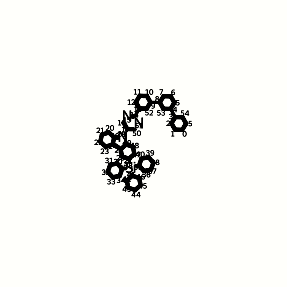 c1ccc(-c2cccc(-c3cccc(-c4ncc(-n5c6ccccc6c6cc([Si](c7ccccc7)(c7ccccc7)c7ccccc7)ccc65)cn4)c3)c2)cc1